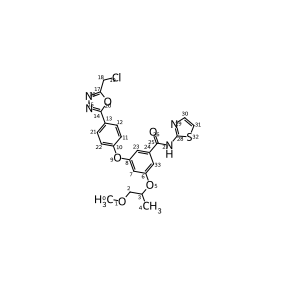 COCC(C)Oc1cc(Oc2ccc(-c3nnc(CCl)o3)cc2)cc(C(=O)Nc2nccs2)c1